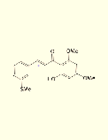 COc1cc(O)c(C(=O)/C=C/c2cccc(SC)c2)c(OC)c1